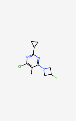 Cc1c(Cl)nc(C2CC2)nc1N1CC(F)C1